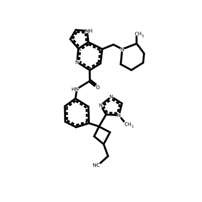 CC1CCCCN1Cc1cc(C(=O)Nc2cccc(C3(c4nncn4C)CC(CC#N)C3)c2)nc2cc[nH]c12